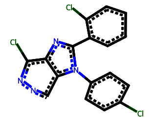 Clc1ccc(-n2c(-c3ccccc3Cl)nc3c(Cl)nncc32)cc1